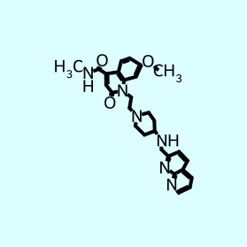 CNC(=O)c1cc(=O)n(CCN2CCC(NCc3ccc4cccnc4n3)CC2)c2cc(OC)ccc12